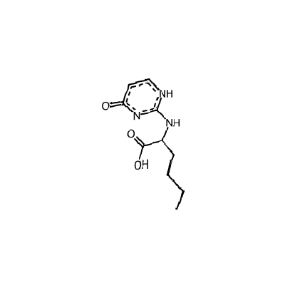 CCCCC(Nc1nc(=O)cc[nH]1)C(=O)O